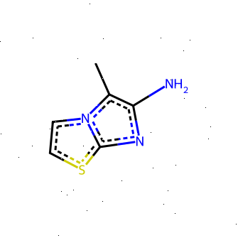 Cc1c(N)nc2sccn12